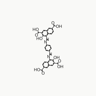 O=C(O)c1ccc2c(N=Nc3ccc(N=Nc4c(O)c(C(=O)O)cc5cc(C(=O)O)ccc45)cc3)c(O)c(C(=O)O)cc2c1